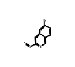 S=Nc1cc2cc(Br)ccc2cn1